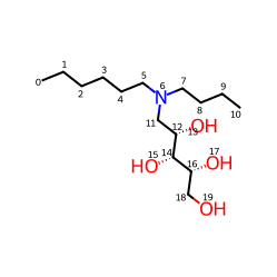 CCCCCCN(CCCC)C[C@H](O)[C@@H](O)[C@H](O)CO